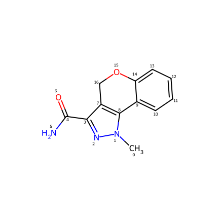 Cn1nc(C(N)=O)c2c1-c1ccccc1OC2